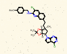 COc1ccc(CNc2nc3cc(CC[C@@]4(C)C[C@@H](n5ccc6c(Cl)ncnc65)[C@@H]5OC(C)(C)O[C@@H]54)ccc3cc2Br)cc1